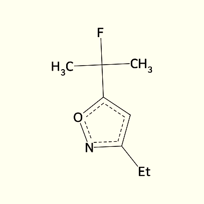 CCc1cc(C(C)(C)F)on1